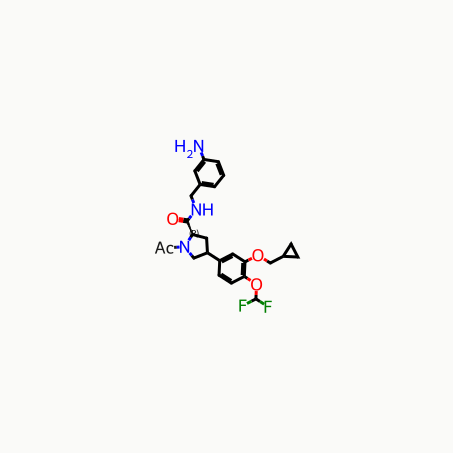 CC(=O)N1CC(c2ccc(OC(F)F)c(OCC3CC3)c2)C[C@@H]1C(=O)NCc1cccc(N)c1